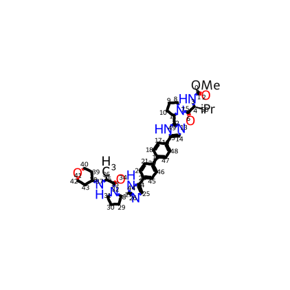 COC(=O)N[C@H](C(=O)N1CCCC1c1ncc(-c2ccc(-c3ccc(-c4cnc([C@@H]5CCCN5C(=O)[C@H](C)NC5CCOCC5)[nH]4)cc3)cc2)[nH]1)C(C)C